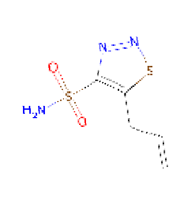 C=CCc1snnc1S(N)(=O)=O